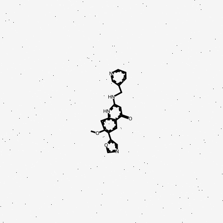 COc1cc2[nH]c(NCc3cccnc3)cc(=O)c2cc1-c1cnco1